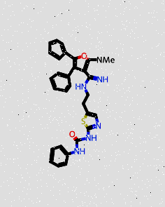 CNc1oc(-c2ccccc2)c(-c2ccccc2)c1C(=N)NCCc1cnc(NC(=O)Nc2ccccc2)s1